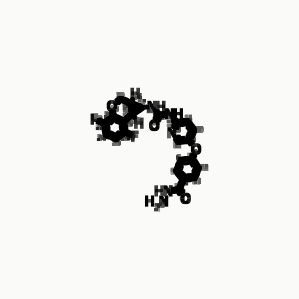 NNC(=O)c1ccc(Oc2ccc(NC(=O)N[C@@H]3[C@H]4COc5c(F)ccc(F)c5[C@H]43)nc2)cc1